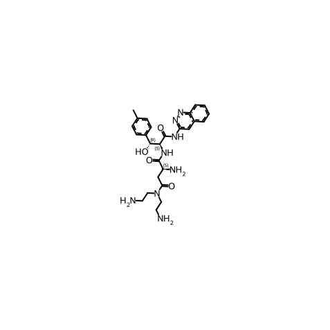 Cc1ccc([C@@H](O)[C@H](NC(=O)[C@@H](N)CC(=O)N(CCN)CCN)C(=O)Nc2cc3ccccc3nn2)cc1